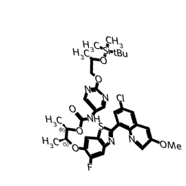 COc1cnc2c(-c3nc4cc(F)c(O[C@@H](C)[C@@H](C)OC(=O)Nc5cnc(OCC(C)O[Si](C)(C)C(C)(C)C)nc5)cc4s3)cc(Cl)cc2c1